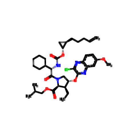 C=CCCC[C@@H]1C[C@H]1OC(=O)N[C@H](C(=O)N1C[C@H](Oc2nc3cc(OC)ccc3nc2Cl)[C@@H](CC)[C@H]1C(=O)OCC(C)C)C1CCCCC1